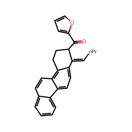 CCCC=C1c2ccc3c(ccc4ccccc43)c2CCC1C(=O)c1ccco1